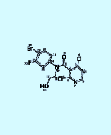 O=C(c1c(Cl)ncnc1Cl)N(CCO)c1ccc(Br)c(F)c1